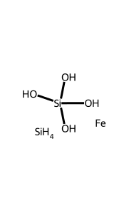 O[Si](O)(O)O.[Fe].[SiH4]